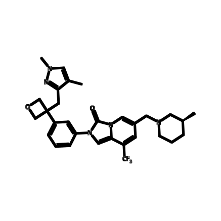 Cc1cn(C)nc1CC1(c2cccc(-n3cc4c(C(F)(F)F)cc(CN5CCC[C@H](C)C5)cn4c3=O)c2)COC1